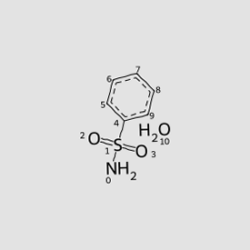 NS(=O)(=O)c1ccccc1.O